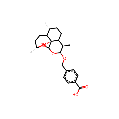 C[C@@H]1CCC2[C@@H](C)[C@@H](OCc3ccc(C(=O)O)cc3)OC3O[C@]4(C)CCC1[C@]32OO4